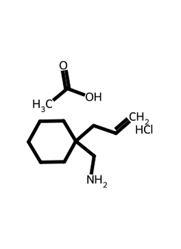 C=CCC1(CN)CCCCC1.CC(=O)O.Cl